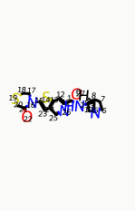 O=C(N[C@H]1CN2CCC1CC2)c1cc2sc(N3CCSCC3=O)cc2cn1